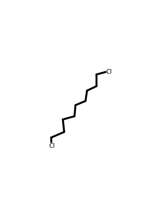 ClCCCCCCCCCCl